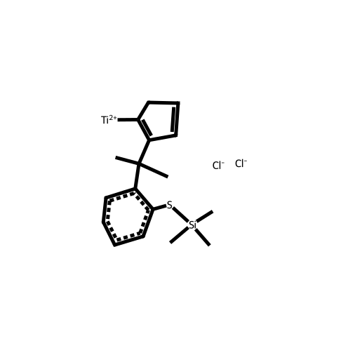 CC(C)(C1=[C]([Ti+2])CC=C1)c1ccccc1S[Si](C)(C)C.[Cl-].[Cl-]